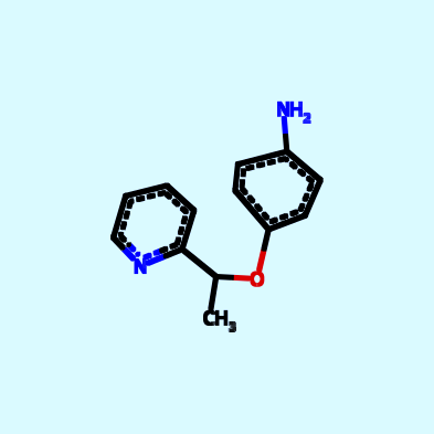 CC(Oc1ccc(N)cc1)c1ccccn1